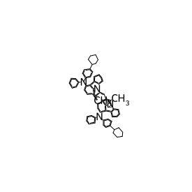 C=c1/c(=C\c2c(C)n3c4ccccc4c4c(N(c5ccccc5)c5ccc(C6CCCCC6)cc5)ccc2c43)n2c3ccccc3c3c(N(c4ccccc4)c4ccc(C5CCCCC5)cc4)ccc1c32